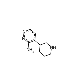 Nc1nnccc1C1CCCNC1